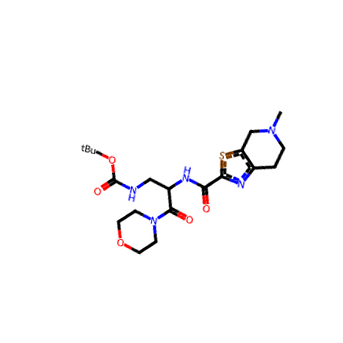 CN1CCc2nc(C(=O)NC(CNC(=O)OC(C)(C)C)C(=O)N3CCOCC3)sc2C1